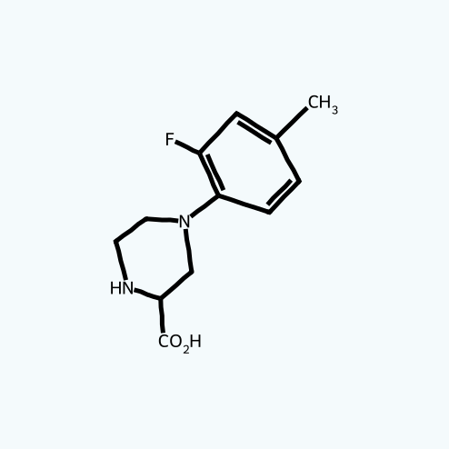 Cc1ccc(N2CCNC(C(=O)O)C2)c(F)c1